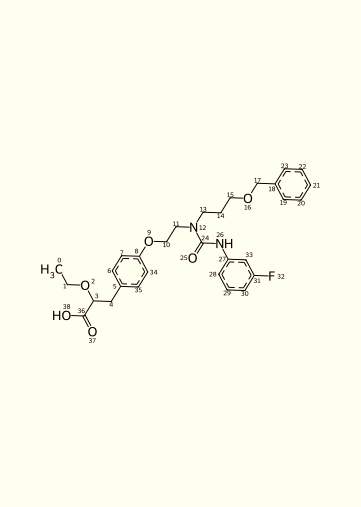 CCOC(Cc1ccc(OCCN(CCCOCc2ccccc2)C(=O)Nc2cccc(F)c2)cc1)C(=O)O